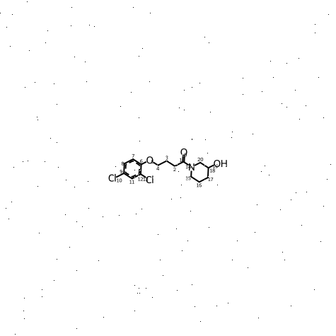 O=C(CCCOc1ccc(Cl)cc1Cl)N1CCCC(O)C1